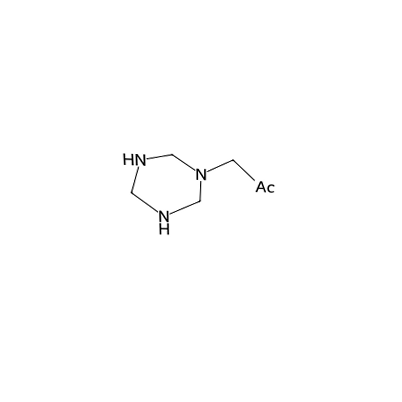 CC(=O)CN1CNCNC1